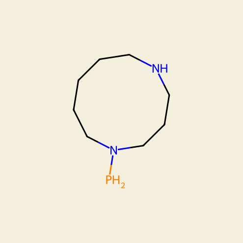 PN1CCCCCNCCC1